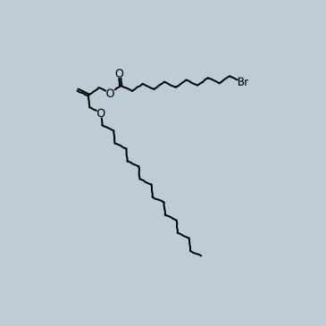 C=C(COCCCCCCCCCCCCCCCC)COC(=O)CCCCCCCCCCBr